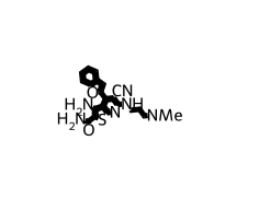 CNCCCNc1nc2sc(C(N)=O)c(N)c2c(-c2cc3ccccc3o2)c1C#N